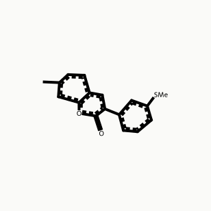 CSc1cccc(-c2cc3ccc(C)cc3oc2=O)c1